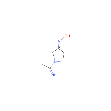 [CH2]C(=N)N1CCC(=NO)C1